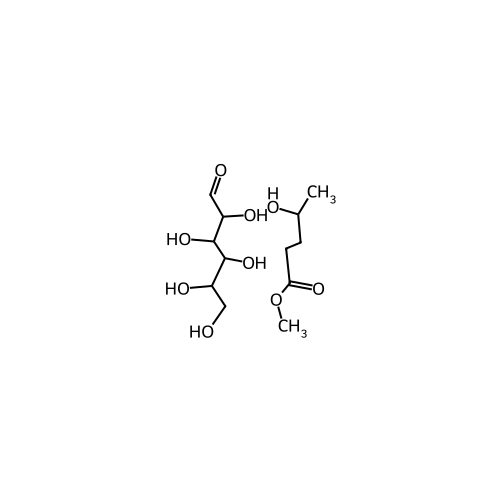 COC(=O)CCC(C)O.O=CC(O)C(O)C(O)C(O)CO